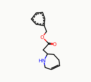 O=C(CC1CCC=CCN1)OCc1ccccc1